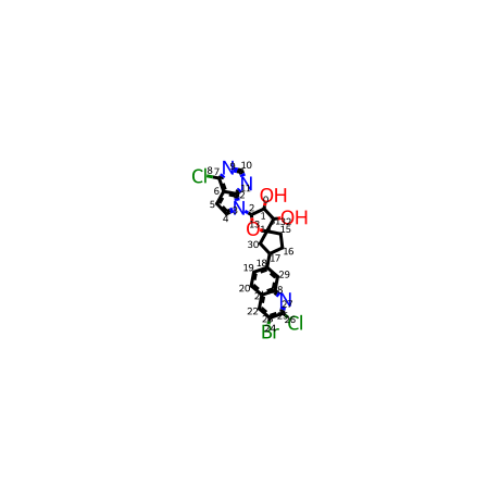 OC1C(n2ccc3c(Cl)ncnc32)OC2(CCC(c3ccc4cc(Br)c(Cl)nc4c3)C2)C1O